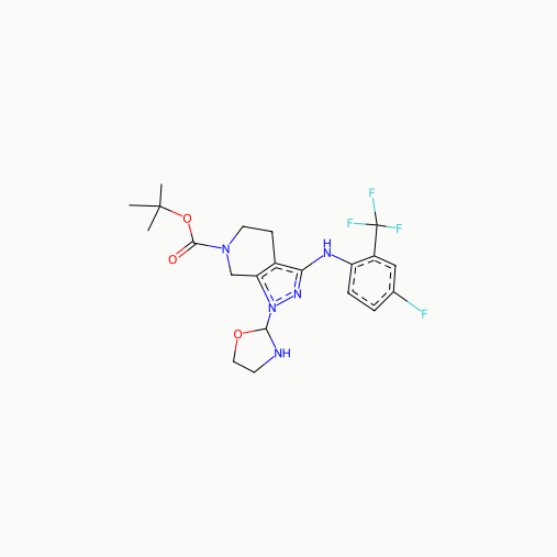 CC(C)(C)OC(=O)N1CCc2c(Nc3ccc(F)cc3C(F)(F)F)nn(C3NCCO3)c2C1